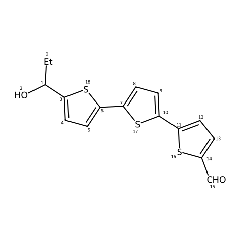 CCC(O)c1ccc(-c2ccc(-c3ccc(C=O)s3)s2)s1